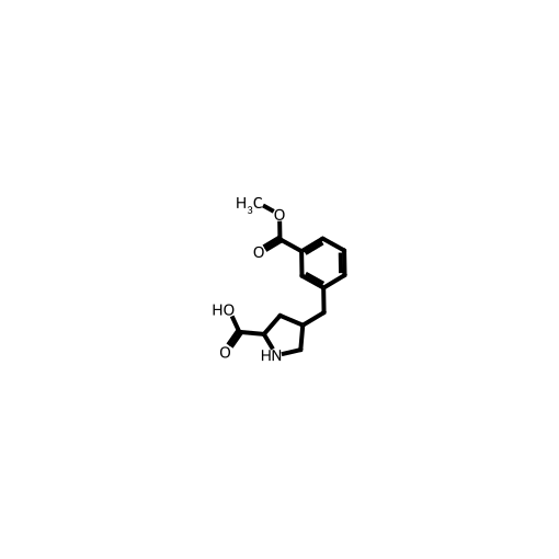 COC(=O)c1cccc(CC2CNC(C(=O)O)C2)c1